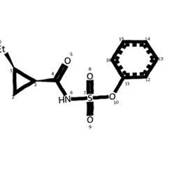 CC[C@@H]1C[C@@H]1C(=O)NS(=O)(=O)Oc1ccccc1